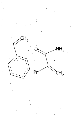 C=C(C(N)=O)C(C)C.C=Cc1ccccc1